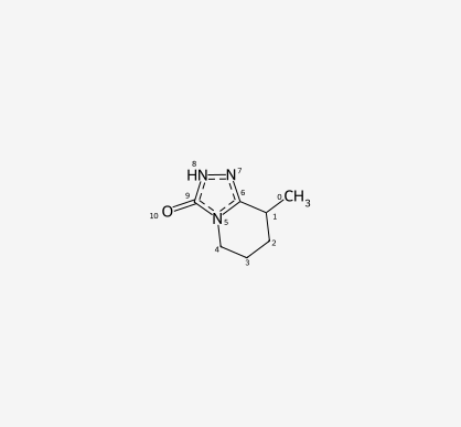 CC1CCCn2c1n[nH]c2=O